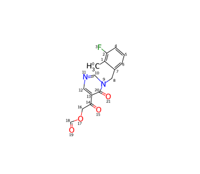 Cc1c(F)cccc1Cn1cncc(C(=O)COC=O)c1=O